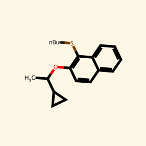 CCCCSc1c(OC(C)C2CC2)ccc2ccccc12